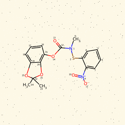 CN(Sc1ccccc1[N+](=O)[O-])C(=O)Oc1cccc2c1OC(C)(C)O2